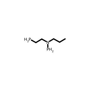 CCCN(P)CCP